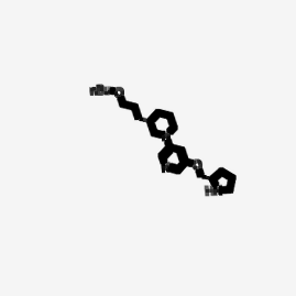 CCCCOCCC[C@@H]1CCCN(c2cncc(OC[C@@H]3CCCN3)c2)C1